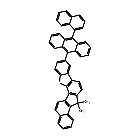 CC1(C)c2ccc3c(sc4ccc(-c5c6ccccc6c(-c6cccc7ccccc67)c6ccccc56)cc43)c2-c2ccc3ccccc3c21